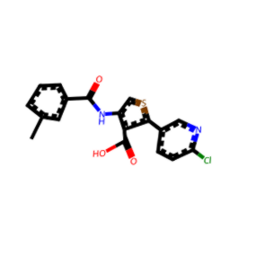 Cc1cccc(C(=O)Nc2csc(-c3ccc(Cl)nc3)c2C(=O)O)c1